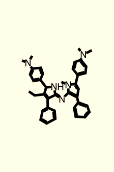 CCC1=C(c2ccccc2)/C(=N/c2c(-c3ccccc3)cc(-c3ccc(N(C)C)cc3)n2C)NC1c1ccc(N(C)C)cc1